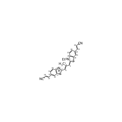 CCN1/C(=C\C(C)=C\C2Nc3ccc(/C=C/C#N)cc3S2)Sc2cc(/C=C/C#N)ccc21